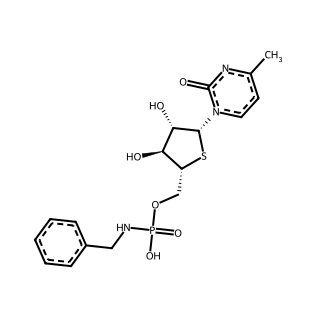 Cc1ccn([C@@H]2S[C@H](COP(=O)(O)NCc3ccccc3)[C@@H](O)[C@@H]2O)c(=O)n1